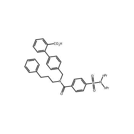 CCCN(CCC)S(=O)(=O)c1ccc(C(=O)N(CCCc2ccccc2)Cc2ccc(-c3ccccc3C(=O)O)cc2)cc1